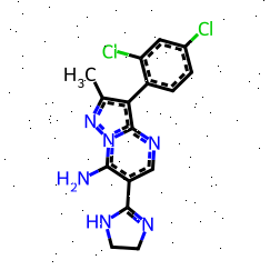 Cc1nn2c(N)c(C3=NCCN3)cnc2c1-c1ccc(Cl)cc1Cl